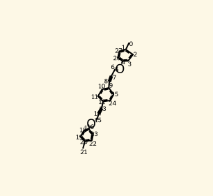 Cc1ccc(OCC#Cc2ccc(C#CCOc3ccc(C)cc3)cc2)cc1